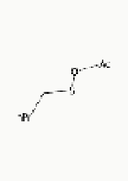 CCCCSOC(C)=O